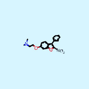 CN(C)CCOc1ccc2c(-c3ccccc3)c([N+](=O)[O-])oc2c1